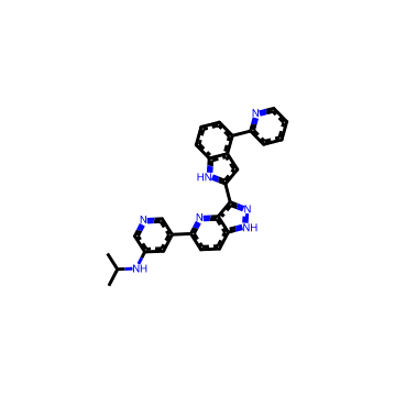 CC(C)Nc1cncc(-c2ccc3[nH]nc(-c4cc5c(-c6ccccn6)cccc5[nH]4)c3n2)c1